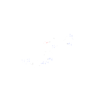 Cc1ncc(-c2ccc(=O)n(-c3ccc(N[C@H]4CC[C@H](N)C4)nc3)c2)cn1